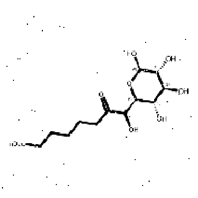 CCCCCCCCCCCCCCCC(=O)C(O)[C@H]1O[C@@H](O)[C@H](O)[C@@H](O)[C@@H]1O